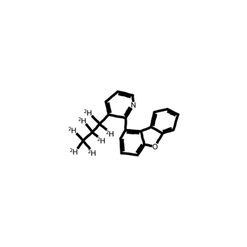 [2H]C([2H])([2H])C([2H])([2H])C([2H])([2H])c1cccnc1-c1cccc2oc3ccccc3c12